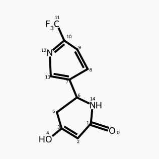 O=C1C=C(O)CC(c2ccc(C(F)(F)F)nc2)N1